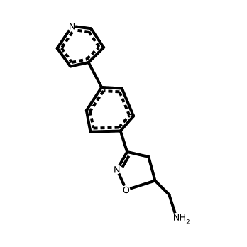 NCC1CC(c2ccc(-c3ccncc3)cc2)=NO1